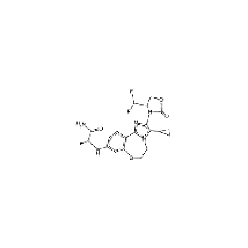 C[C@H](Nc1ccc2c(c1)OCCn1c-2nc(N2C(=O)OCC2C(F)F)c1C1CC1)C(N)=O